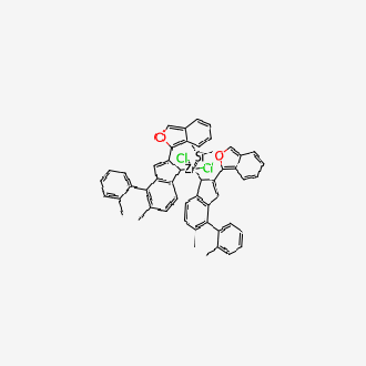 Cc1ccccc1-c1c(C)ccc2c1C=C(c1occ3ccccc13)[CH]2[Zr]([Cl])([Cl])([CH]1C(c2occ3ccccc23)=Cc2c1ccc(C)c2-c1ccccc1C)=[Si](C)C